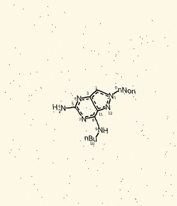 CCCCCCCCCn1cc2nc(N)nc(NCCCC)c2n1